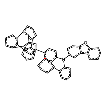 c1ccc(-c2ccccc2N(c2ccc(-c3ccc4c(c3)-c3c5cccc3-c3cccc-4c3-c3ccccc3-5)cc2)c2ccc3oc4ccccc4c3c2)cc1